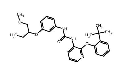 CCC(COC)Oc1cccc(NC(=O)Nc2cccnc2Oc2ccccc2C(C)(C)C)c1